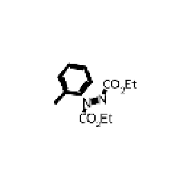 CCOC(=O)N=NC(=O)OCC.Cc1ccccc1